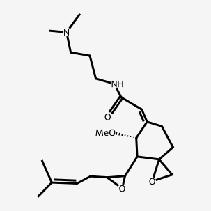 CO[C@@H]1/C(=C\C(=O)NCCCN(C)C)CCC2(CO2)C1C1OC1CC=C(C)C